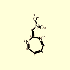 O=[N+]([O-])C=C1N=CC=CC=N1